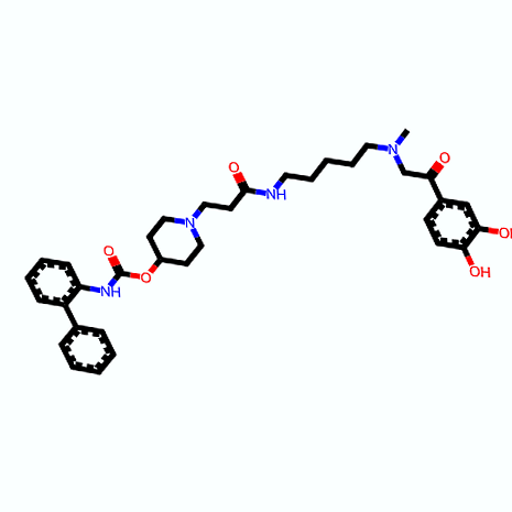 CN(CCCCCNC(=O)CCN1CCC(OC(=O)Nc2ccccc2-c2ccccc2)CC1)CC(=O)c1ccc(O)c(O)c1